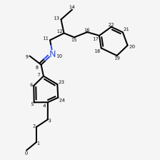 CCCCc1ccc(/C(C)=N/CC(CC)CCC2=CCCC=C2)cc1